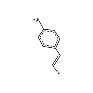 Bc1ccc(/C=C/F)cc1